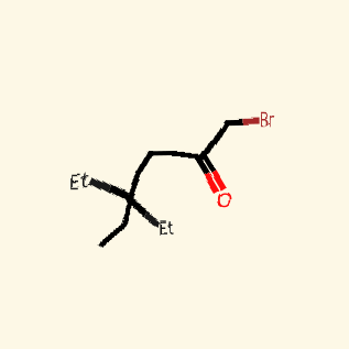 CCC(C)(CC)CC(=O)CBr